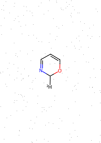 [2H]C1N=CC=CO1